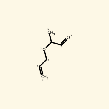 C=CCOC(C)[C]=O